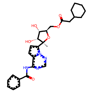 C[C@@]1(c2ccc3c(NC(=O)c4ccccc4)ncnn23)O[C@H](COC(=O)CC2CCCCC2)[C@@H](O)[C@H]1O